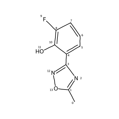 Cc1nc(-c2cccc(F)c2O)no1